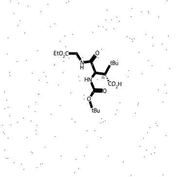 CCOC(=O)CNC(=O)C(NC(=O)OC(C)(C)C)[C@@H](C(=O)O)C(C)(C)C